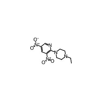 CCN1CCN(c2ncc([N+](=O)[O-])cc2[N+](=O)[O-])CC1